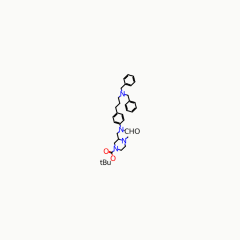 CN1CCN(C(=O)OC(C)(C)C)CC1CN(C=O)c1ccc(CCCN(Cc2ccccc2)Cc2ccccc2)cc1